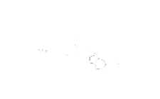 CCC(C(=O)O)C1CC(OC)CN1C(=O)N1CCCC1CCc1cc2ccc(C#N)cc2n1CC